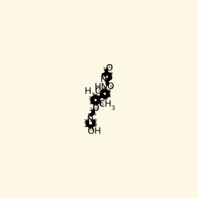 Cc1c(NC(=O)c2ccc(C=O)cn2)cccc1-c1cccc(OCCCN2CCC(O)CC2)c1C